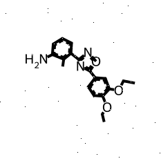 CCOc1ccc(-c2nc(-c3cccc(N)c3C)no2)cc1OCC